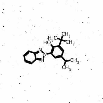 CC(C)c1cc(-n2nc3ccccc3n2)c(O)c(C(C)(C)C)c1